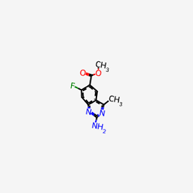 COC(=O)c1cc2c(C)nc(N)nc2cc1F